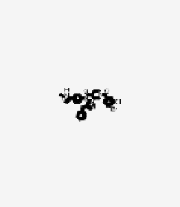 Cc1ncc(-c2ccc(-n3c(=O)c4c(n5ncc(Cc6ccccc6)c35)CN(C(=O)c3ccc(Br)c(Cl)c3)CC4)cc2)[nH]1